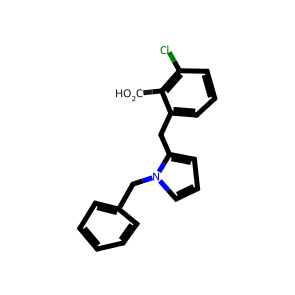 O=C(O)c1c(Cl)cccc1Cc1cccn1Cc1ccccc1